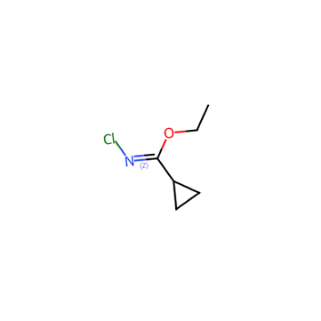 CCO/C(=N\Cl)C1CC1